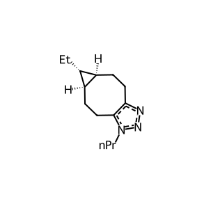 CCCn1nnc2c1CC[C@H]1[C@H](CC)[C@H]1CC2